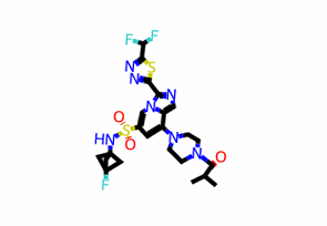 CC(C)C(=O)N1CCN(c2cc(S(=O)(=O)NC34CC(F)(C3)C4)cn3c(-c4nnc(C(F)F)s4)ncc23)CC1